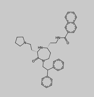 O=C(NCC[C@@H]1CCN(CC(c2ccccc2)c2ccccc2)C(=O)[C@H](CCN2CCCC2)N1)c1ccc2ccccc2c1